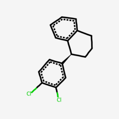 Clc1ccc([C@@H]2CCCc3ccccc32)cc1Cl